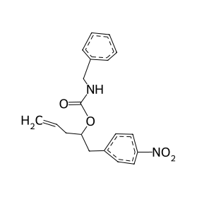 C=CCC(Cc1ccc([N+](=O)[O-])cc1)OC(=O)NCc1ccccc1